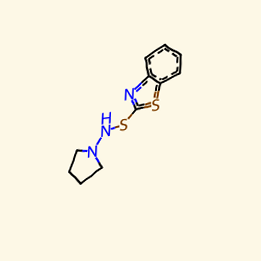 c1ccc2sc(SNN3CCCC3)nc2c1